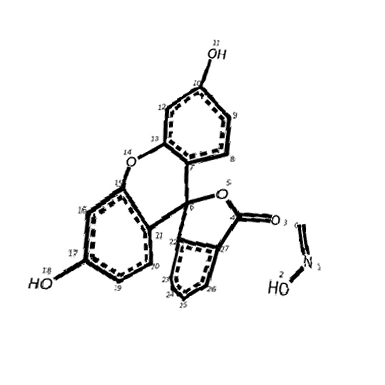 C=NO.O=C1OC2(c3ccc(O)cc3Oc3cc(O)ccc32)c2ccccc21